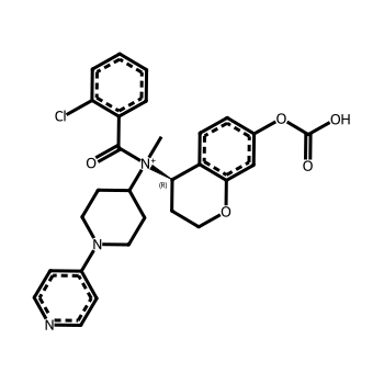 C[N+](C(=O)c1ccccc1Cl)(C1CCN(c2ccncc2)CC1)[C@@H]1CCOc2cc(OC(=O)O)ccc21